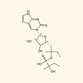 CCC(C)(C[C@H]1O[C@@H](n2cc3cc[nH]c3nc2=S)[C@@H](O)C1O)OP(=O)(O)C(C)(O)CC